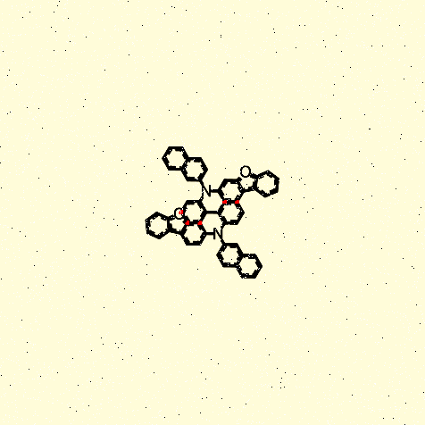 c1ccc(N(c2ccc3ccccc3c2)c2ccc3c(c2)oc2ccccc23)c(-c2ccccc2N(c2ccc3ccccc3c2)c2ccc3c(c2)oc2ccccc23)c1